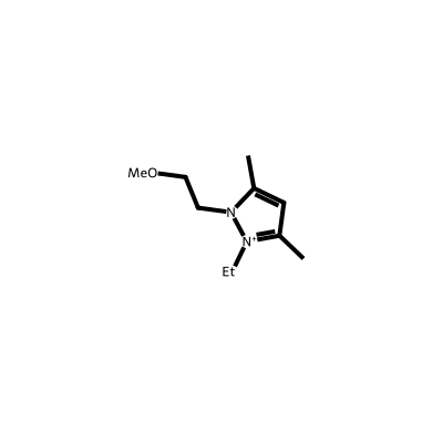 CC[n+]1c(C)cc(C)n1CCOC